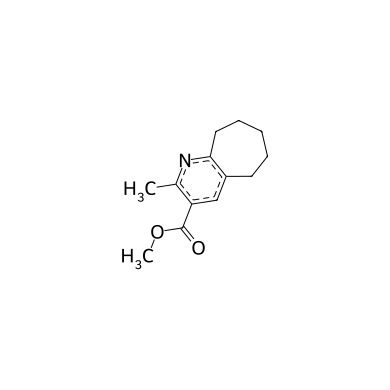 COC(=O)c1cc2c(nc1C)CCCCC2